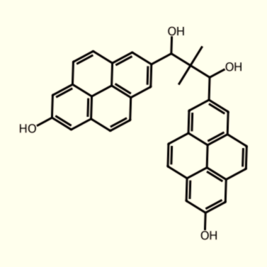 CC(C)(C(O)c1cc2ccc3cc(O)cc4ccc(c1)c2c34)C(O)c1cc2ccc3cc(O)cc4ccc(c1)c2c34